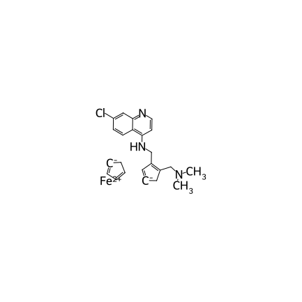 CN(C)CC1=C(CNc2ccnc3cc(Cl)ccc23)C=[C-]C1.[C-]1=CC=CC1.[Fe+2]